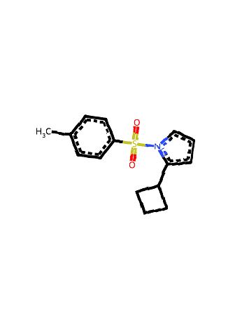 Cc1ccc(S(=O)(=O)n2cccc2C2CCC2)cc1